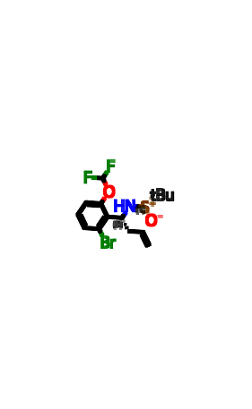 C=CC[C@@H](N[S@@+]([O-])C(C)(C)C)c1c(Br)cccc1OC(F)F